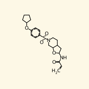 C=CC(=O)NC1CC2CCN(S(=O)(=O)c3ccc(OC4CCCC4)cc3)CC2O1